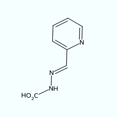 O=C(O)NN=Cc1ccccn1